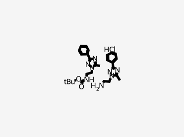 Cc1nc(-c2ccccc2)nn1CCN.Cc1nc(-c2ccccc2)nn1CCNC(=O)OC(C)(C)C.Cl